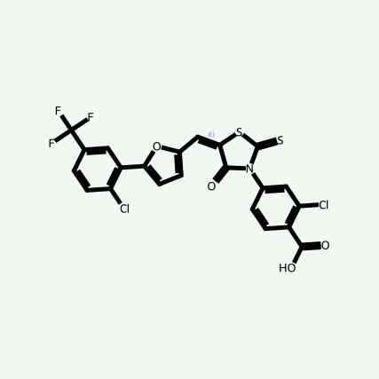 O=C(O)c1ccc(N2C(=O)/C(=C\c3ccc(-c4cc(C(F)(F)F)ccc4Cl)o3)SC2=S)cc1Cl